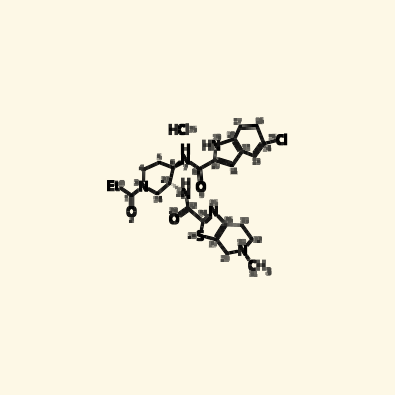 CCC(=O)N1CC[C@@H](NC(=O)c2cc3cc(Cl)ccc3[nH]2)[C@H](NC(=O)c2nc3c(s2)CN(C)CC3)C1.Cl